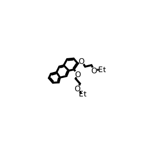 CCOCCOc1ccc2cc3ccccc3cc2c1OCCOCC